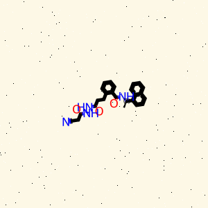 C[C@@H](NC(=O)c1ccccc1CCC(=O)NNC(=O)CC#N)c1cccc2ccccc12